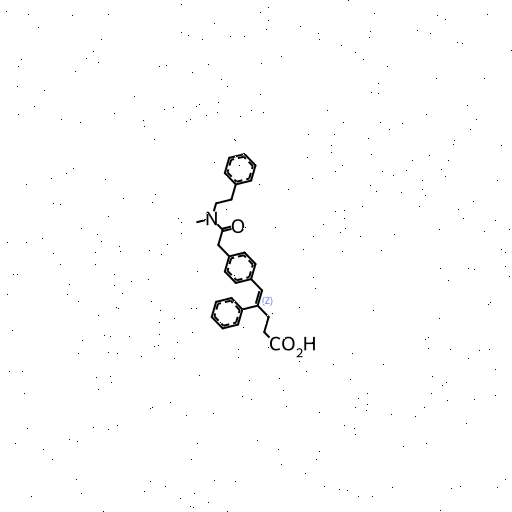 CN(CCc1ccccc1)C(=O)Cc1ccc(/C=C(/CCC(=O)O)c2ccccc2)cc1